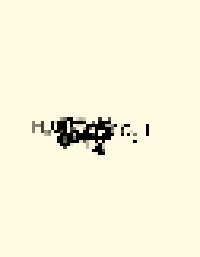 CN(C)C12C=CC(CC1)C1CN(c3c(F)cc4c(=O)c(C(=O)O)cn(C5CC5)c4c3F)CC12